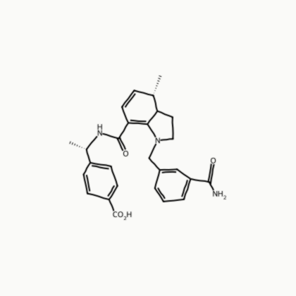 C[C@H](NC(=O)C1=C2C(CCN2Cc2cccc(C(N)=O)c2)[C@@H](C)C=C1)c1ccc(C(=O)O)cc1